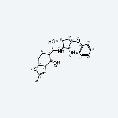 CC1=CC2C(CCC(CNC3CCC(Oc4ccccc4)C3O)C2O)S1.Cl